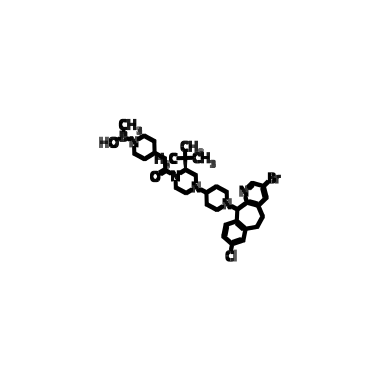 CB(O)N1CCC(CC(=O)N2CCN(C3CCN(C4c5ccc(Cl)cc5CCc5cc(Br)cnc54)CC3)C[C@@H]2C(C)(C)C)CC1